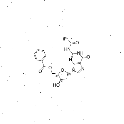 CC(C)C(=O)Nc1nc2c(ncn2[C@@H]2C[C@@H](O)[C@@H](COC(=O)c3ccccc3)O2)c(=O)[nH]1